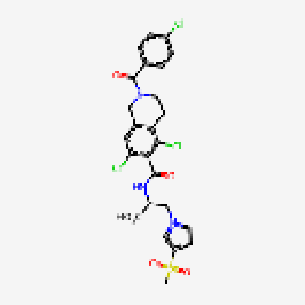 CS(=O)(=O)c1ccn(C[C@H](NC(=O)c2c(Cl)cc3c(c2Cl)CCN(C(=O)c2ccc(Cl)cc2)C3)C(=O)O)c1